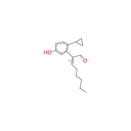 CCCCC/C=C(\C=O)c1cc(O)ccc1C1CC1